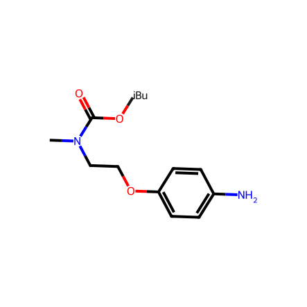 CCC(C)OC(=O)N(C)CCOc1ccc(N)cc1